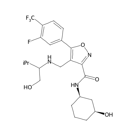 CC(C)C(CO)NCc1c(C(=O)N[C@@H]2CCC[C@H](O)C2)noc1-c1ccc(C(F)(F)F)c(F)c1